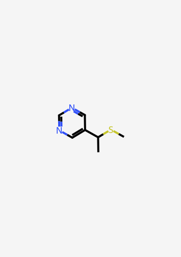 CSC(C)c1cncnc1